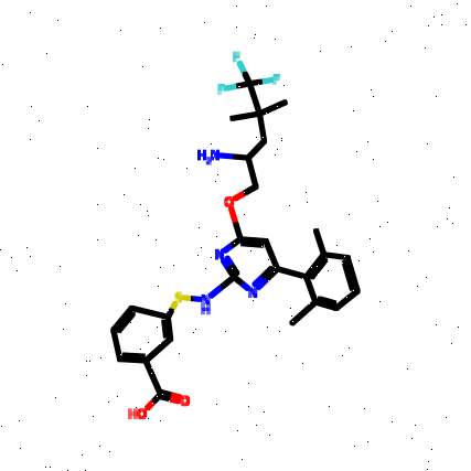 Cc1cccc(C)c1-c1cc(OCC(N)CC(C)(C)C(F)(F)F)nc(NSc2cccc(C(=O)O)c2)n1